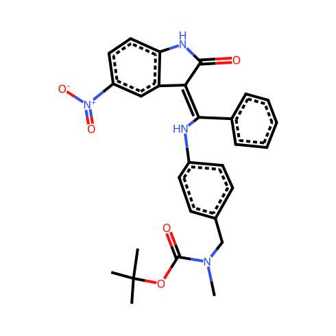 CN(Cc1ccc(NC(=C2C(=O)Nc3ccc([N+](=O)[O-])cc32)c2ccccc2)cc1)C(=O)OC(C)(C)C